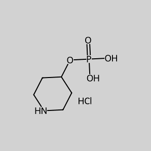 Cl.O=P(O)(O)OC1CCNCC1